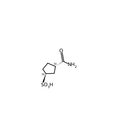 NC(=O)[C@H]1CC[C@H](S(=O)(=O)O)C1